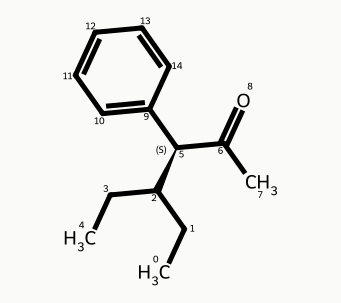 CCC(CC)[C@H](C(C)=O)c1ccccc1